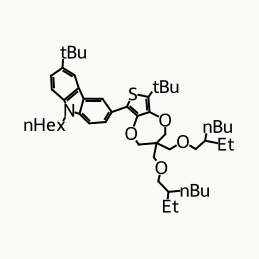 CCCCCCn1c2ccc(-c3sc(C(C)(C)C)c4c3OCC(COCC(CC)CCCC)(COCC(CC)CCCC)CO4)cc2c2cc(C(C)(C)C)ccc21